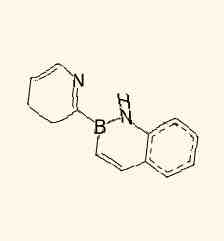 C1=CN=C(B2C=Cc3ccccc3N2)CC1